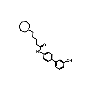 O=C(CCCCN1CCCCCC1)Nc1ccc(-c2cccc(O)c2)cc1